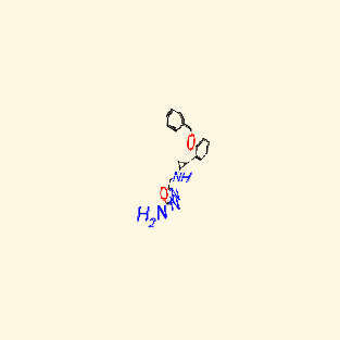 Nc1nnc(CNC2CC2c2ccccc2OCc2ccccc2)o1